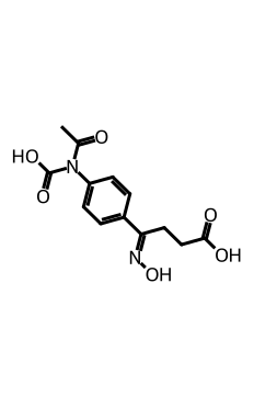 CC(=O)N(C(=O)O)c1ccc(/C(CCC(=O)O)=N/O)cc1